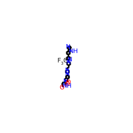 O=C1CCC(N2Cc3cc(N4CCN(CCC5CCN(c6ncc(-c7ccc8c(c7)[nH]c7ccncc78)cc6C(F)(F)F)CC5)CC4)ccc3C2=O)C(=O)N1